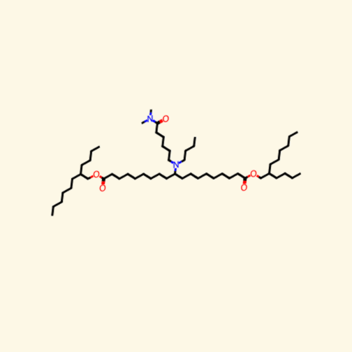 CCCCCCC(CCCC)COC(=O)CCCCCCCCC(CCCCCCCCC(=O)OCC(CCCC)CCCCCC)N(CCCC)CCCCCC(=O)N(C)C